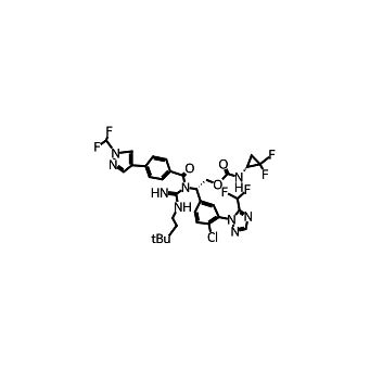 CC(C)(C)CCNC(=N)N(C(=O)c1ccc(-c2cnn(C(F)F)c2)cc1)[C@H](COC(=O)N[C@@H]1CC1(F)F)c1ccc(Cl)c(-n2ncnc2C(F)F)c1